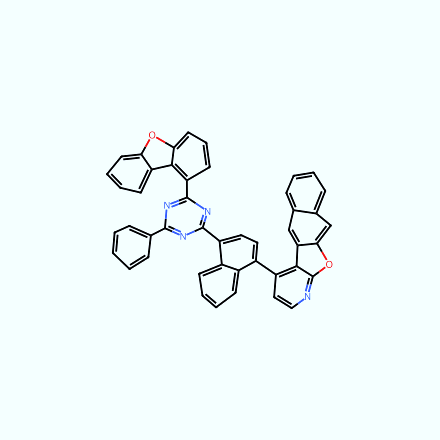 c1ccc(-c2nc(-c3ccc(-c4ccnc5oc6cc7ccccc7cc6c45)c4ccccc34)nc(-c3cccc4oc5ccccc5c34)n2)cc1